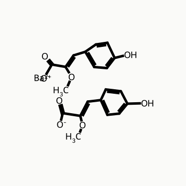 CO/C(=C\c1ccc(O)cc1)C(=O)[O-].CO/C(=C\c1ccc(O)cc1)C(=O)[O-].[Ba+2]